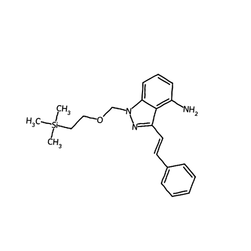 C[Si](C)(C)CCOCn1nc(C=Cc2ccccc2)c2c(N)cccc21